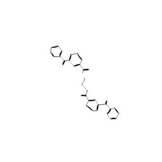 O=C(CCCOC(=O)c1cccc(C(=O)c2ccccc2)c1)c1cccc(C(=O)c2ccccc2)c1